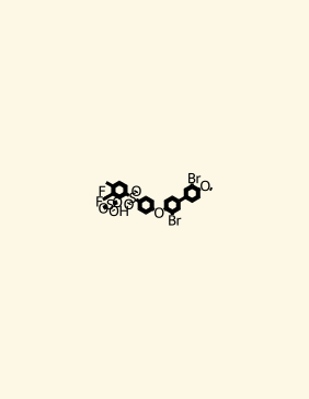 COc1ccc(-c2ccc(Oc3ccc(S(=O)(=O)c4ccc(C)c(C(F)(F)S(=O)(=O)O)c4)cc3)c(Br)c2)cc1Br